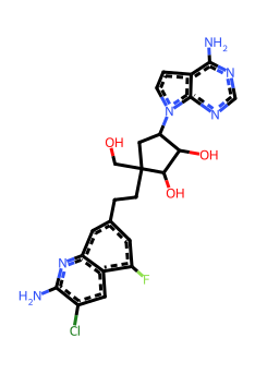 Nc1nc2cc(CCC3(CO)CC(n4ccc5c(N)ncnc54)C(O)C3O)cc(F)c2cc1Cl